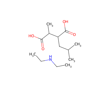 CC(C)CC(C(=O)O)C(C)C(=O)O.CCNCC